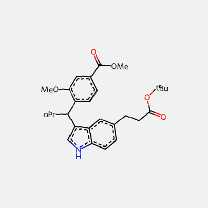 CCCC(c1ccc(C(=O)OC)cc1OC)c1c[nH]c2ccc(CCC(=O)OC(C)(C)C)cc12